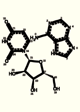 Nc1ncnc2nc[nH]c12.O=c1ccn([C@@H]2O[C@H](CO)[C@@H](O)[C@H]2O)c(=O)[nH]1